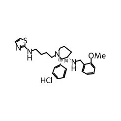 COc1ccccc1CN[C@H]1CCCN(CCCCNc2nccs2)[C@H]1c1ccccc1.Cl